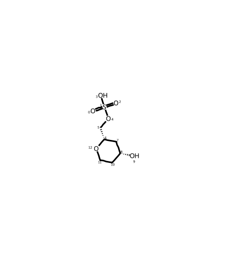 O=S(=O)(O)OC[C@@H]1C[C@H](O)CCO1